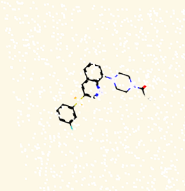 CC(C)COC(=O)N1CCN(c2cccc3cc(S(=O)(=O)c4cccc(F)c4)cnc23)CC1